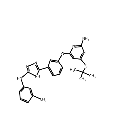 Cc1cccc(Nc2nnc(-c3cccc(Oc4cc(SC(C)(C)C)nc(N)n4)c3)[nH]2)c1